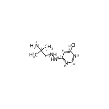 CC(C)(N)CNNc1cc(Cl)ncn1